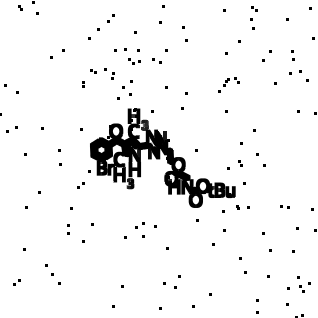 Cc1[nH]c(-c2nnn(CCOC(=O)CNC(=O)OC(C)(C)C)n2)c(C)c1C(=O)c1cccc(Br)c1